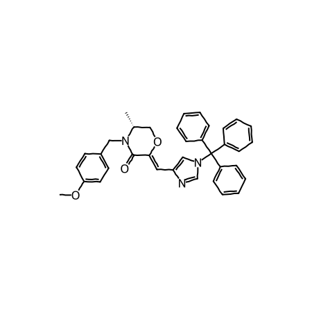 COc1ccc(CN2C(=O)/C(=C/c3cn(C(c4ccccc4)(c4ccccc4)c4ccccc4)cn3)OC[C@H]2C)cc1